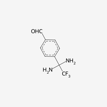 NC(N)(c1ccc(C=O)cc1)C(F)(F)F